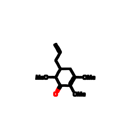 C=CCC1CC(OC)=C(OC)C(=O)C1OC